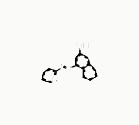 Oc1cc(N=Nc2ccccn2)c2ccccc2c1